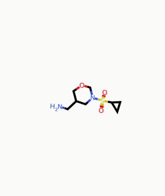 NCC1COCN(S(=O)(=O)C2CC2)C1